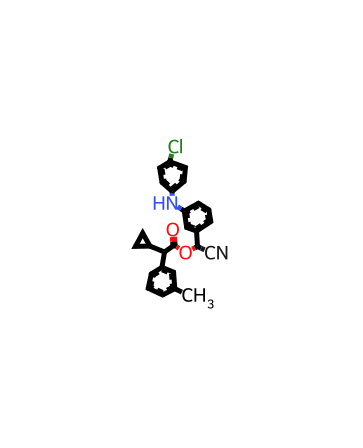 Cc1cccc(C(C(=O)OC(C#N)c2cccc(Nc3ccc(Cl)cc3)c2)C2CC2)c1